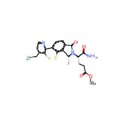 C[C@@H]1c2c(ccc(-c3nccc(CCl)c3F)c2F)C(=O)N1[C@@H](CCC(=O)OC(C)(C)C)C(N)=O